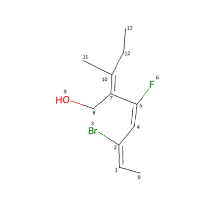 C\C=C(Br)/C=C(F)\C(CO)=C(\C)CC